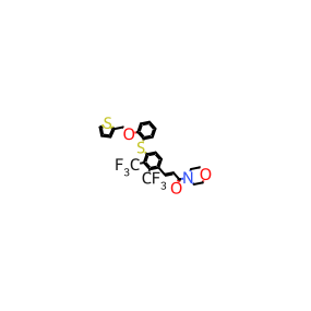 O=C(/C=C/c1ccc(Sc2ccccc2OCc2cccs2)c(C(F)(F)F)c1C(F)(F)F)N1CCOCC1